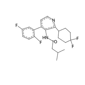 CC(C)CC(=O)Nc1c(-c2cc(F)ccc2F)ccnc1C1CCC(F)(F)CC1